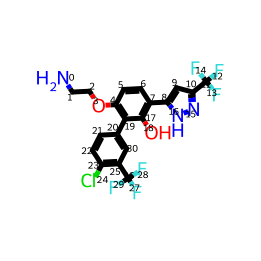 NCCOc1ccc(-c2cc(C(F)(F)F)n[nH]2)c(O)c1-c1ccc(Cl)c(C(F)(F)F)c1